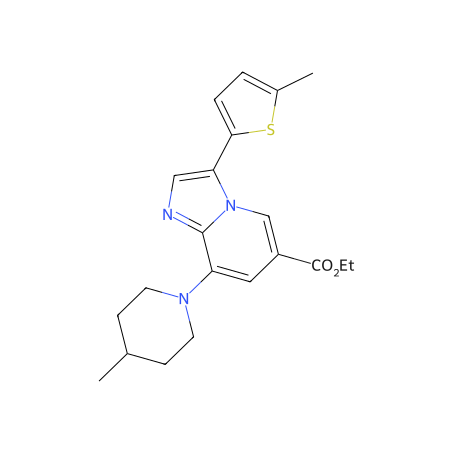 CCOC(=O)c1cc(N2CCC(C)CC2)c2ncc(-c3ccc(C)s3)n2c1